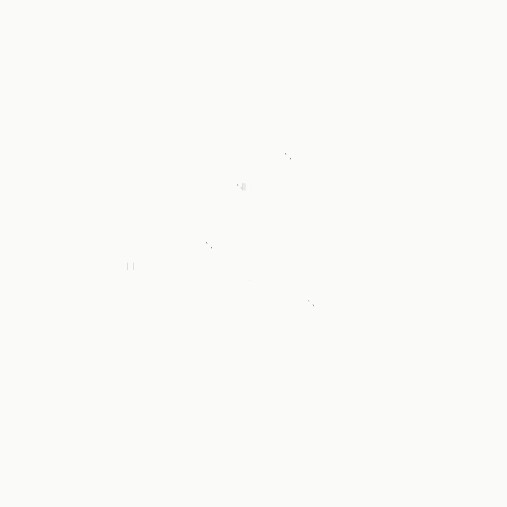 CNC(=O)Nc1ccccc1N1CC2(CCN(CC(C)(C)C)CC2)c2c(C)ccc(O)c21